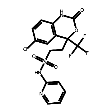 O=C1Nc2ccc(Cl)cc2C(CCS(=O)(=O)Nc2ccccn2)(C(F)(F)F)O1